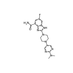 CN(C)c1ncc(N2CCN(c3nc4c(C(N)=O)cc(F)cc4[nH]3)CC2)cn1